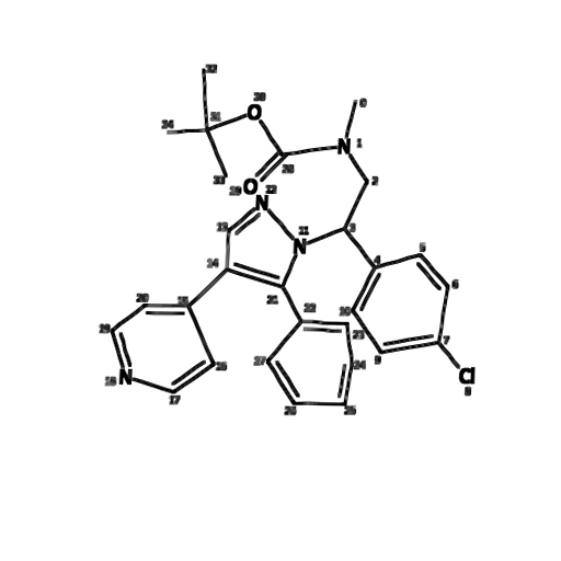 CN(CC(c1ccc(Cl)cc1)n1ncc(-c2ccncc2)c1-c1ccccc1)C(=O)OC(C)(C)C